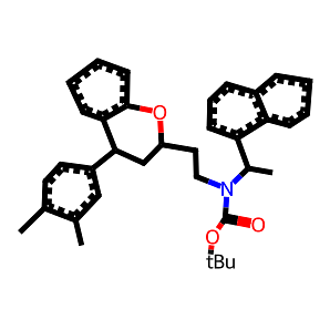 Cc1ccc(C2CC(CCN(C(=O)OC(C)(C)C)C(C)c3cccc4ccccc34)Oc3ccccc32)cc1C